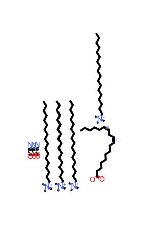 CCCCC/C=C\C/C=C\CCCCCCCC(=O)[O-].CCCCCCCCCCCCCCCCCC[N+](C)(C)C.CCCCCCCCCCCCCCCCCC[N+](C)(C)C.CCCCCCCCCCCCCCCCCC[N+](C)(C)C.CCCCCCCCCCCCCCCCCC[N+](C)(C)C.[N-]=C=O.[N-]=C=O.[N-]=C=O